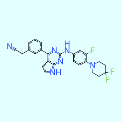 N#CCc1cccc(-c2nc(Nc3ccc(N4CCC(F)(F)CC4)c(F)c3)nc3[nH]ccc23)c1